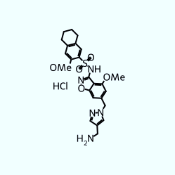 COc1cc2c(cc1S(=O)(=O)Nc1noc3cc(Cn4cc(CN)cn4)cc(OC)c13)CCCC2.Cl